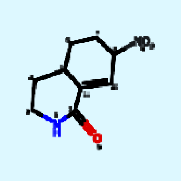 O=C1NCCC2CCC([N+](=O)[O-])C=C12